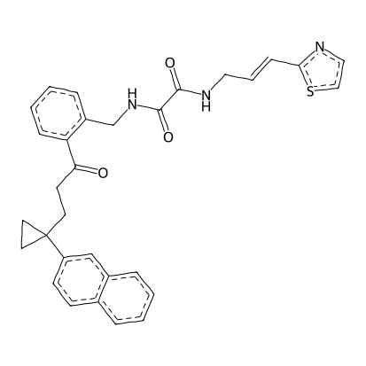 O=C(NC/C=C/c1nccs1)C(=O)NCc1ccccc1C(=O)CCC1(c2ccc3ccccc3c2)CC1